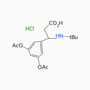 CC(=O)Oc1cc(OC(C)=O)cc(C(CNC(C)(C)C)CC(=O)O)c1.Cl